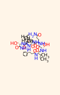 CC[C@H](C)[C@H](NC(=O)CCc1ccccc1)C(=O)N[C@@H](CO)C(=O)N[C@H](CCC(N)=O)C(=O)N[C@@H](C(=O)N[C@H](C(=O)N[C@@H](CO)C(N)=O)[C@@H](C)CC)[C@@H](C)CC